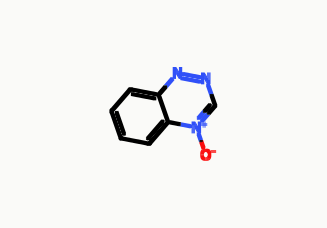 [O-][n+]1cnnc2ccccc21